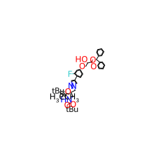 CC(C)(C)OC(=O)NCC(Cn1cc(-c2ccc(OC[C@@H](O)C(=O)OC(c3ccccc3)c3ccccc3)cc2F)cn1)O[Si](C)(C)C(C)(C)C